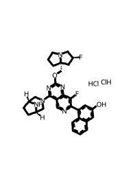 Cl.Cl.Oc1cc(-c2ncc3c(N4C[C@H]5CC[C@@H](C4)N5)nc(OC[C@]45CCCN4C[C@@H](F)C5)nc3c2F)c2ccccc2c1